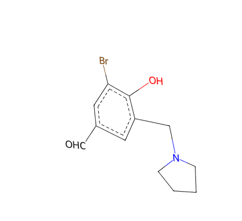 O=Cc1cc(Br)c(O)c(CN2CCCC2)c1